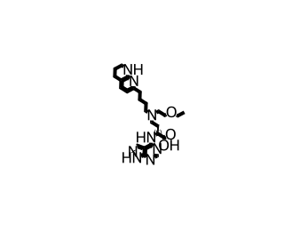 CCOCCN(CCCCc1ccc2c(n1)NCCC2)CC[C@H](Nc1ncnc2[nH]ncc12)C(=O)O